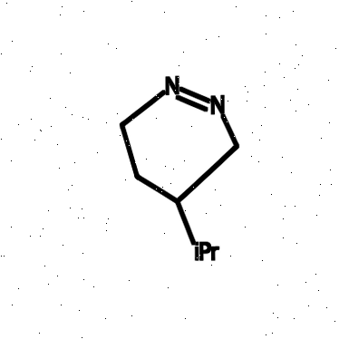 CC(C)C1CCN=NC1